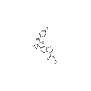 O=C(OC1CC1)N1CCc2cc(C3(C(=O)Nc4ccc(Cl)cc4)CCC3)ccc21